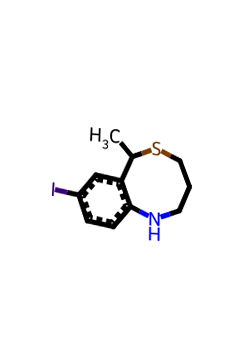 CC1SCCCNc2ccc(I)cc21